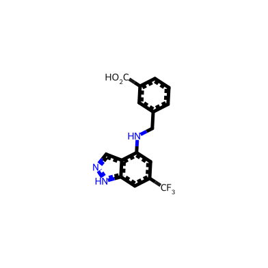 O=C(O)c1cccc(CNc2cc(C(F)(F)F)cc3[nH]ncc23)c1